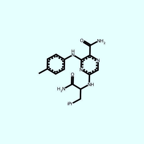 Cc1ccc(Nc2nc(NC(CC(C)C)C(N)=O)cnc2C(N)=O)cc1